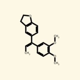 CC=C(c1ccc2c(c1)CCO2)c1ccc(OC)c(OC)c1